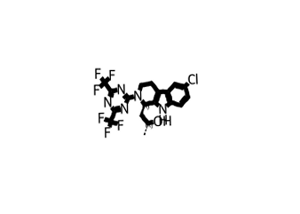 C[C@@H](O)C[C@@H]1c2[nH]c3ccc(Cl)cc3c2CCN1c1nc(C(F)(F)F)nc(C(F)(F)F)n1